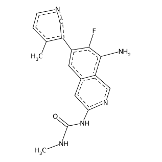 CNC(=O)Nc1cc2cc(-c3cnccc3C)c(F)c(N)c2cn1